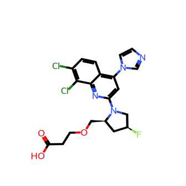 O=C(O)CCOC[C@@H]1C[C@H](F)CN1c1cc(-n2ccnc2)c2ccc(Cl)c(Cl)c2n1